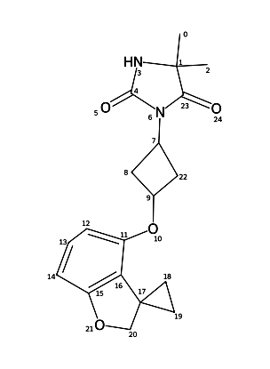 CC1(C)NC(=O)N(C2CC(Oc3cccc4c3C3(CC3)CO4)C2)C1=O